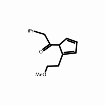 COCCC1=CC=CC1C(=O)CC(C)C